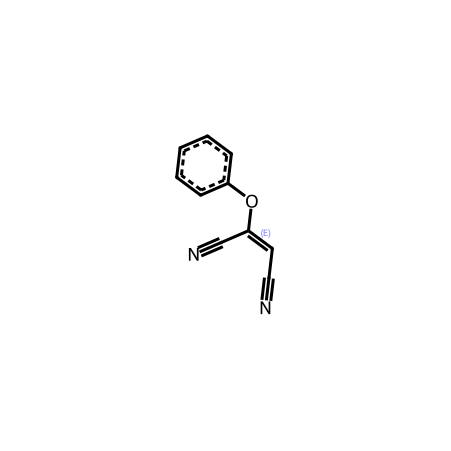 N#C/C=C(\C#N)Oc1ccccc1